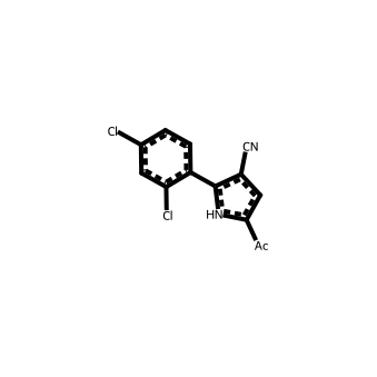 CC(=O)c1cc(C#N)c(-c2ccc(Cl)cc2Cl)[nH]1